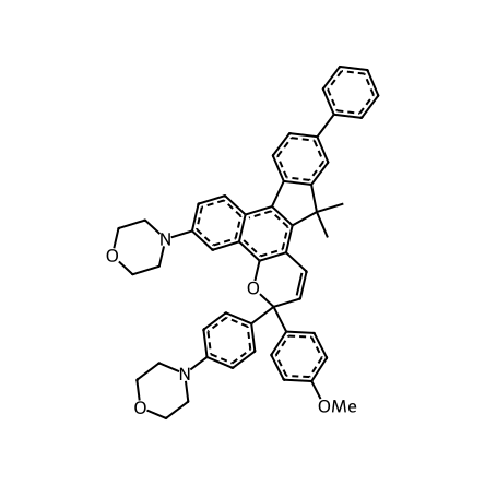 COc1ccc(C2(c3ccc(N4CCOCC4)cc3)C=Cc3c4c(c5ccc(N6CCOCC6)cc5c3O2)-c2ccc(-c3ccccc3)cc2C4(C)C)cc1